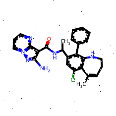 CC1=CCCNc2c1c(Cl)cc(C(C)NC(=O)c1c(N)nn3cccnc13)c2-c1ccccc1